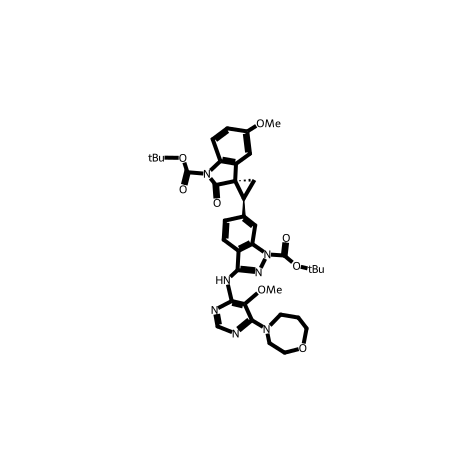 COc1ccc2c(c1)[C@]1(C[C@H]1c1ccc3c(Nc4ncnc(N5CCCOCC5)c4OC)nn(C(=O)OC(C)(C)C)c3c1)C(=O)N2C(=O)OC(C)(C)C